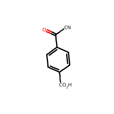 N#CC(=O)c1ccc(C(=O)O)cc1